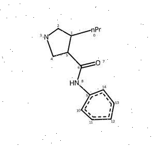 CCCC1C[N]CC1C(=O)Nc1ccccc1